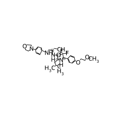 CC[C@@H](CNc1ccc(N2CCOCC2)cc1)NC(=O)[C@H](CC(C)C)N[C@@H](c1ccc(OCCOC)cc1)C(F)(F)F